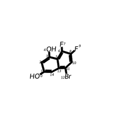 Oc1cc(O)c2c(F)c(F)cc(Br)c2c1